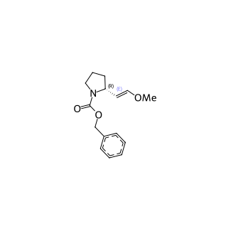 CO/C=C/[C@H]1CCCN1C(=O)OCc1ccccc1